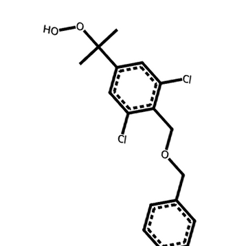 CC(C)(OO)c1cc(Cl)c(COCc2ccccc2)c(Cl)c1